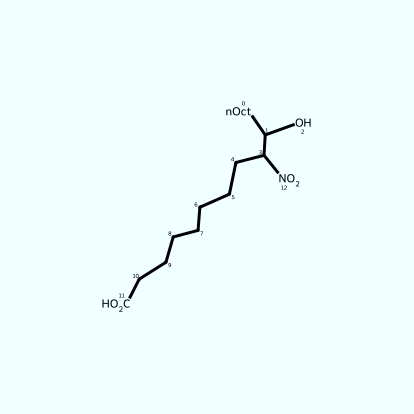 CCCCCCCCC(O)C(CCCCCCCC(=O)O)[N+](=O)[O-]